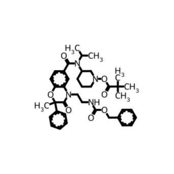 CC(C)N(C(=O)c1ccc2c(c1)N(CCNC(=O)OCc1ccccc1)C(=O)C(C)(c1ccccc1)O2)C1CCCN(OC(=O)C(C)(C)C)C1